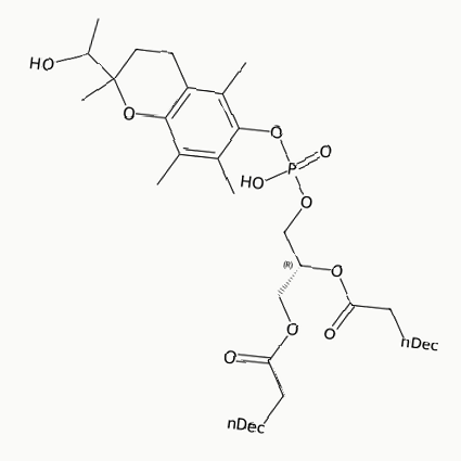 CCCCCCCCCCCC(=O)OC[C@H](COP(=O)(O)Oc1c(C)c(C)c2c(c1C)CCC(C)(C(C)O)O2)OC(=O)CCCCCCCCCCC